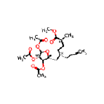 C=CCC[C@@H](CC[C@H](C)C(=O)OC)C[C@H]1OC(OC(C)=O)[C@@H](OC(C)=O)C1OC(C)=O